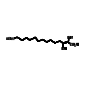 CCCCCCCCCCCCCCCCCCCCCC(O)=C(O)C(=O)O